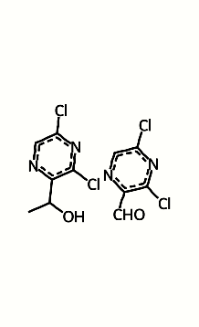 CC(O)c1ncc(Cl)nc1Cl.O=Cc1ncc(Cl)nc1Cl